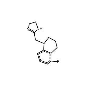 Fc1cccc2c1CCCC2CC1=NCCN1